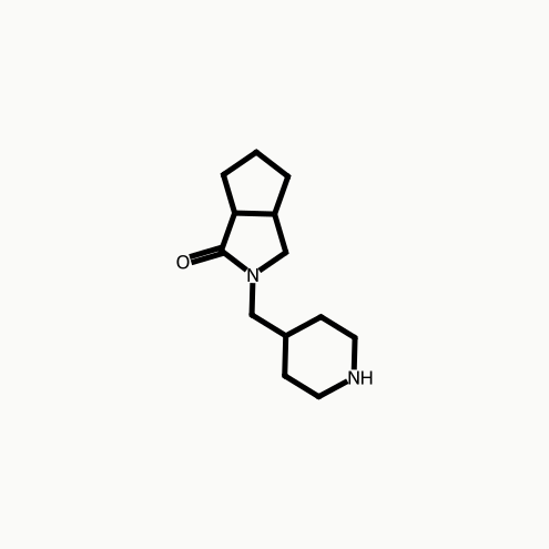 O=C1C2CCCC2CN1CC1CCNCC1